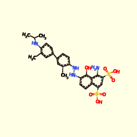 Cc1cc(-c2ccc(NC(C)C)c(C)c2)ccc1NNc1ccc2c(S(=O)(=O)O)cc(S(=O)(=O)O)c(N)c2c1O